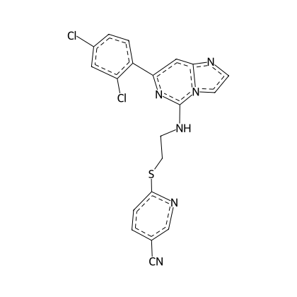 N#Cc1ccc(SCCNc2nc(-c3ccc(Cl)cc3Cl)cc3nccn23)nc1